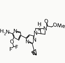 COCC(=O)N1CC2[C@H]1CN2c1cc(-c2cnc(N)c(OC(F)F)c2)nc(N2CC3CC2C3)n1